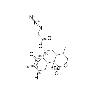 C=C1C(=O)[C@]23CC[C@H]1CC2C1(CCCC)C(=O)OCC(C)C1C[C@H]3OC(=O)CN=[N+]=[N-]